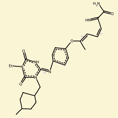 CCn1c(=O)[nH]/c(=N\c2ccc(O/C(C)=C/C=C\C(=N)C(N)=O)cc2)n(CC2CCC(C)CC2)c1=O